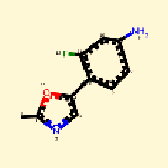 Cc1ncc(-c2ccc(N)cc2F)o1